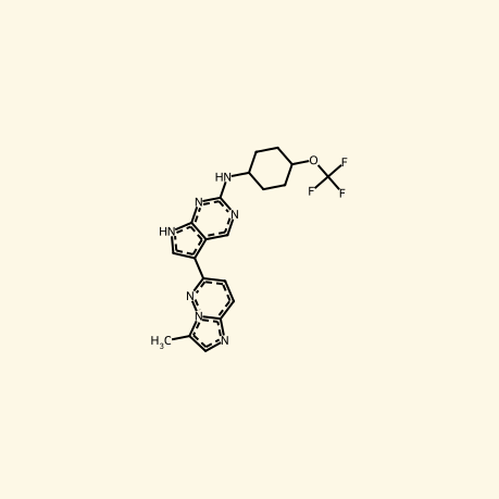 Cc1cnc2ccc(-c3c[nH]c4nc(NC5CCC(OC(F)(F)F)CC5)ncc34)nn12